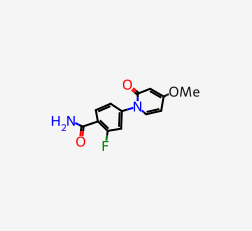 COc1ccn(-c2ccc(C(N)=O)c(F)c2)c(=O)c1